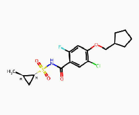 C[C@@H]1C[C@H]1S(=O)(=O)NC(=O)c1cc(Cl)c(OCC2CCCC2)cc1F